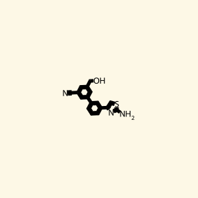 N#Cc1cc(CO)cc(-c2cccc(-c3csc(N)n3)c2)c1